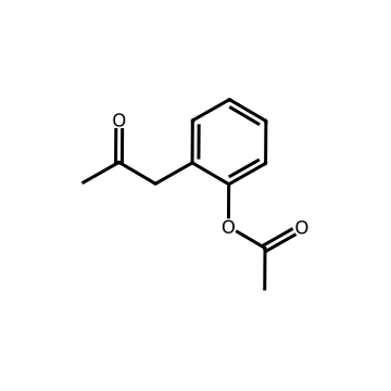 CC(=O)Cc1ccccc1OC(C)=O